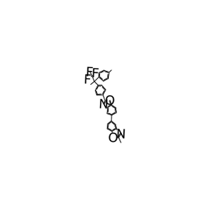 Cc1ccc(C(C)(c2ccc(-c3nc4cc(-c5ccc6oc(C)nc6c5)ccc4o3)cc2)C(F)(F)F)cc1